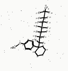 CCCCOc1ccc(C2(C(F)(F)C(F)(F)C(F)(F)C(F)(F)C(F)(F)C(F)(F)C(F)(F)C(F)(F)F)CCCCC2)cc1